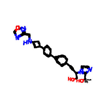 C[C@H](O)c1nccn1C(C#Cc1ccc(-c2ccc(C3CC(NCc4ncon4)C3)cc2)cc1)CO